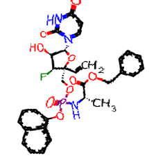 C=C[C@]1(COP(=O)(N[C@@H](C)C(=O)OCc2ccccc2)Oc2cccc3ccccc23)O[C@@H](n2ccc(=O)[nH]c2=O)[C@H](O)[C@@H]1F